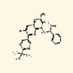 Cc1nc2cc(F)c(-c3cnc(C(C)(C)O)nc3)nc2c(NC(c2ccccc2)C(F)F)c1Cl